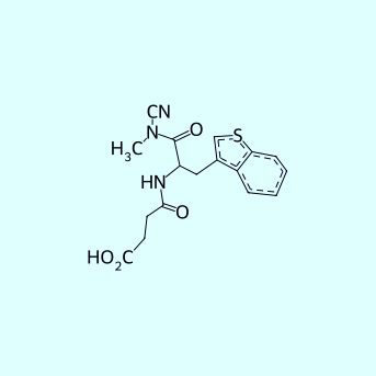 CN(C#N)C(=O)C(Cc1csc2ccccc12)NC(=O)CCC(=O)O